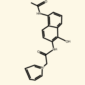 CC(=O)Nc1cccc2c(O)c(NC(=O)C[n+]3ccccc3)ccc12